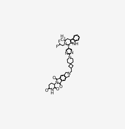 C[C@@H]1Cc2c([nH]c3ccccc23)[C@@H](c2cnc(N3CCC4(CC3)CC(CN3Cc5cc6c(cc5C3)C(=O)N(C3CCC(=O)NC3=O)C6=O)C4)nc2)N1CC(F)F